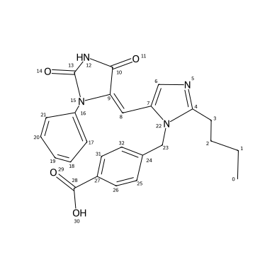 CCCCc1ncc(/C=C2\C(=O)NC(=O)N2c2ccccc2)n1Cc1ccc(C(=O)O)cc1